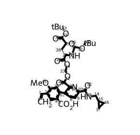 C=Cc1cc(C(=O)O)c(-c2ccc(C(=O)NCC3CC3)nc2C(=O)OCOC(=O)[C@H](CCC(=O)OC(C)(C)C)NC(=O)OC(C)(C)C)cc1OC